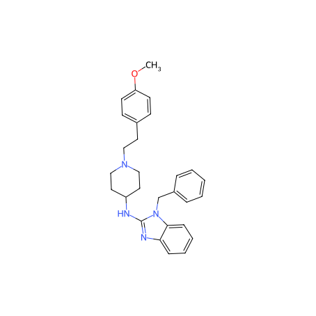 COc1ccc(CCN2CCC(Nc3nc4ccccc4n3Cc3ccccc3)CC2)cc1